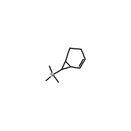 C[Si](C)(C)C1C2C=CCCC21